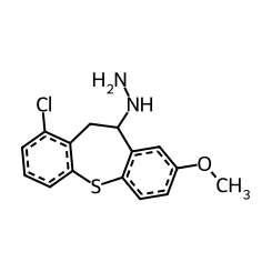 COc1ccc2c(c1)C(NN)Cc1c(Cl)cccc1S2